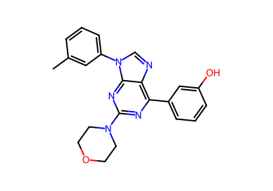 Cc1cccc(-n2cnc3c(-c4cccc(O)c4)nc(N4CCOCC4)nc32)c1